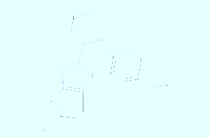 COc1ccc(CC(NC(=O)O)c2nc3cc(Br)ccc3[nH]2)cc1